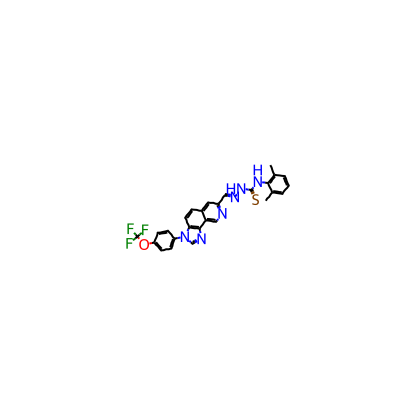 Cc1cccc(C)c1NC(=S)N/N=C/c1cc2ccc3c(ncn3-c3ccc(OC(F)(F)F)cc3)c2cn1